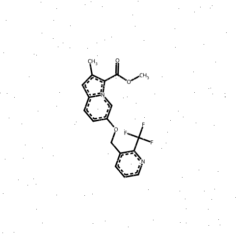 COC(=O)c1c(C)cc2ccc(OCc3cccnc3C(F)(F)F)cn12